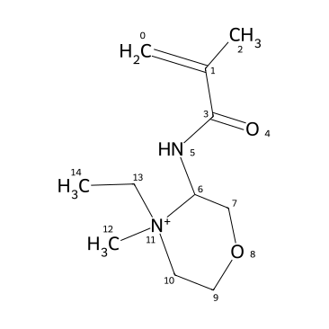 C=C(C)C(=O)NC1COCC[N+]1(C)CC